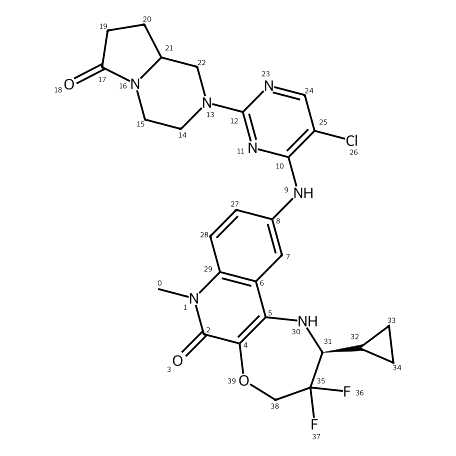 Cn1c(=O)c2c(c3cc(Nc4nc(N5CCN6C(=O)CCC6C5)ncc4Cl)ccc31)N[C@@H](C1CC1)C(F)(F)CO2